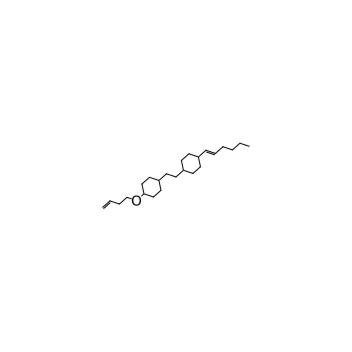 C=CCCOC1CCC(CCC2CCC(/C=C/CCCC)CC2)CC1